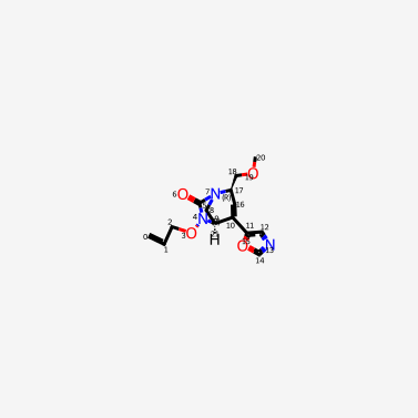 C=CCON1C(=O)N2C[C@H]1C(c1cnco1)=C[C@@H]2COC